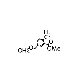 COC(=O)c1cc(COC=O)ccc1C